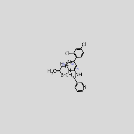 C=C(Br)/C=N\N(C)/C(=C\C(=N/C)c1ccc(Cl)cc1Cl)NCc1cccnc1